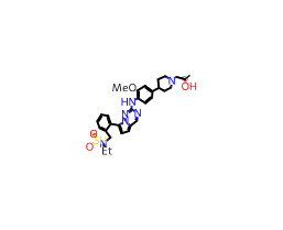 CCN(Cc1ccccc1-c1ccc2cnc(Nc3ccc(C4CCN(C[C@@H](C)O)CC4)cc3OC)nn12)[SH](=O)=O